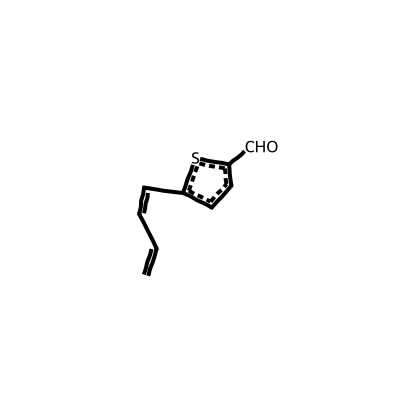 C=C/C=C\c1ccc(C=O)s1